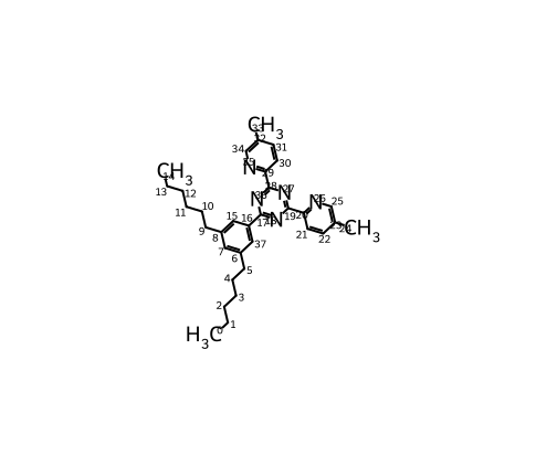 CCCCCCc1cc(CCCCCC)cc(-c2nc(-c3ccc(C)cn3)nc(-c3ccc(C)cn3)n2)c1